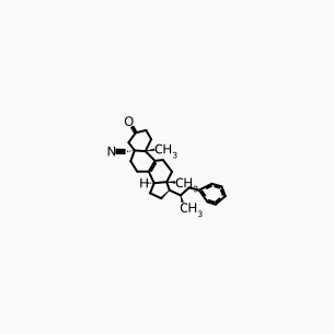 C[C@H](Cc1ccccc1)[C@H]1CC[C@H]2C3=C(CC[C@]12C)[C@@]1(C)CCC(=O)C[C@]1(C#N)CC3